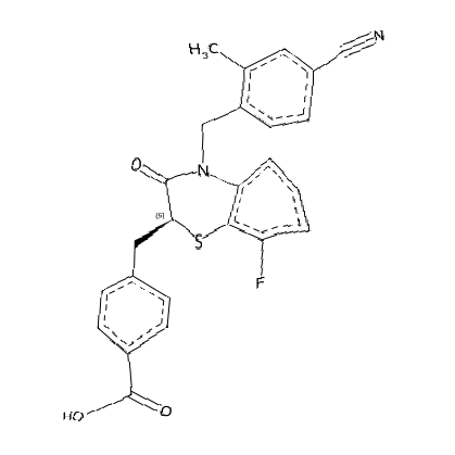 Cc1cc(C#N)ccc1CN1C(=O)[C@H](Cc2ccc(C(=O)O)cc2)Sc2c(F)cccc21